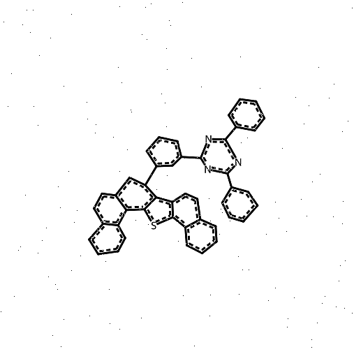 c1ccc(-c2nc(-c3ccccc3)nc(-c3cccc(-c4cc5ccc6ccccc6c5c5sc6c7ccccc7ccc6c45)c3)n2)cc1